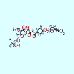 C[C@H]([C@@H]1O[C@H]1C[C@@H]1OC[C@H](CC(=O)CC(=O)c2ccc(OCc3ccc([N+](=O)[O-])o3)cc2)[C@@H](O)[C@H]1O)[C@H](C)O